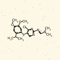 COc1cc(Sc2cnc(/N=C/N(C)C)nc2Cl)c(C(C)C)cc1OC